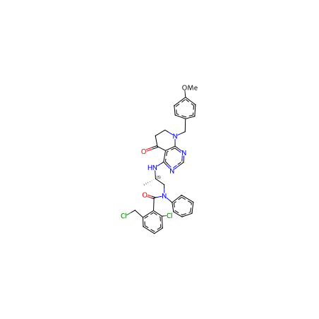 COc1ccc(CN2CCC(=O)c3c(N[C@@H](C)CN(C(=O)c4c(Cl)cccc4CCl)c4ccccc4)ncnc32)cc1